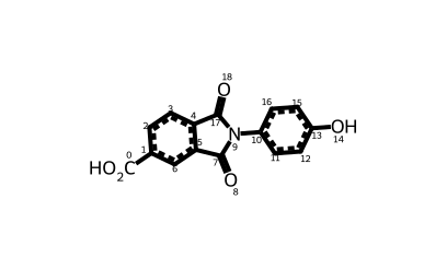 O=C(O)c1ccc2c(c1)C(=O)N(c1ccc(O)cc1)C2=O